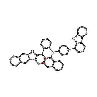 c1ccc(N(c2ccc(-c3cccc4c3oc3ccccc34)cc2)c2cccc3ccccc23)c(-c2cccc3c2oc2cc4ccccc4cc23)c1